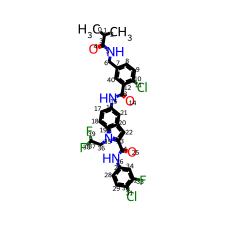 CC(C)C(=O)NCc1ccc(Cl)c(C(=O)Nc2ccc3c(c2)cc(C(=O)Nc2ccc(Cl)c(F)c2)n3CC(F)F)c1